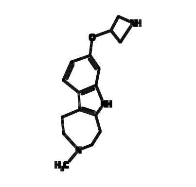 CN1CCc2[nH]c3cc(OC4CNC4)ccc3c2CC1